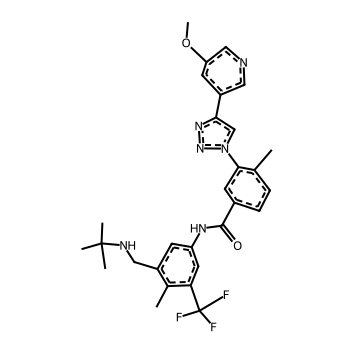 COc1cncc(-c2cn(-c3cc(C(=O)Nc4cc(CNC(C)(C)C)c(C)c(C(F)(F)F)c4)ccc3C)nn2)c1